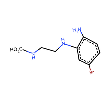 Nc1ccc(Br)cc1NCCNC(=O)O